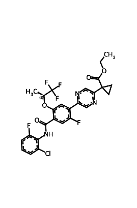 CCOC(=O)C1(c2cnc(-c3cc(O[C@@H](C)C(F)(F)F)c(C(=O)Nc4c(F)cccc4Cl)cc3F)cn2)CC1